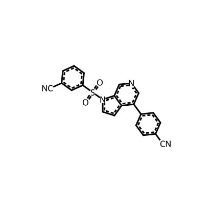 N#Cc1ccc(-c2cncc3c2ccn3S(=O)(=O)c2cccc(C#N)c2)cc1